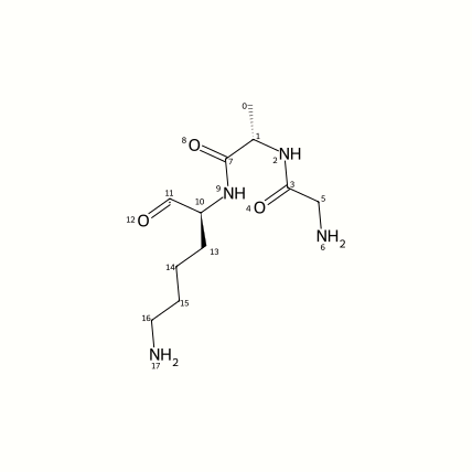 C[C@H](NC(=O)CN)C(=O)N[C@H]([C]=O)CCCCN